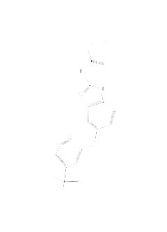 COC(=O)Nc1nc2cc(Sc3cccc(C(F)(F)F)c3)ccc2[nH]1